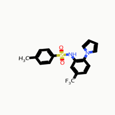 Cc1ccc(S(=O)(=O)Nc2cc(C(F)(F)F)ccc2-n2cccc2)cc1